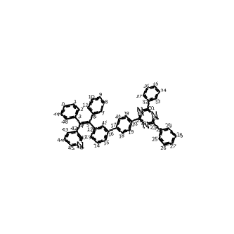 c1ccc(/C(=C(\c2ccccc2)c2cccc(-c3ccc(-c4nc(-c5ccccc5)nc(-c5ccccc5)n4)cc3)c2)c2cccnc2)cc1